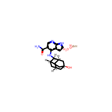 Br.NC(=O)c1cnc2[nH]ccc2c1N[C@H]1[C@@H]2C[C@H]3C[C@H]1C[C@@](O)(C3)C2.O.O